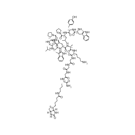 CC(C)C[C@H](NC(=O)[C@@H]1CCCN1C(=O)[C@@H]1CCCN1C(=O)[C@H](CC(C)C)NC(=O)[C@H](Cc1ccc(O)cc1)NC(=O)[C@@H](N)Cc1c[nH]c2ccccc12)C(=O)N[C@@H](Cc1c[nH]c2ccccc12)C(=O)N[C@@H](Cc1c[nH]cn1)C(=O)N[C@@H](C)C(=O)N[C@@H](CCCCN)C(=O)NCC(=O)NCC(=O)NCC(=O)N[C@@H](CCCCNC(=O)CCCC[C@@H]1SC[C@@H]2NC(=O)N[C@@H]21)C(N)=O